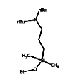 CCCCN(CCCC)CCC[Si](C)(C)OCC